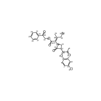 CC(=O)N(Oc1ccc(Cl)cc1)C1CN(C(C(=O)OCC(=O)c2ccccc2)=C(C)CBr)C1=O